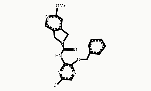 COc1cc2c(cn1)CN(C(=O)Nc1nc(Cl)cnc1OCc1ccccc1)C2